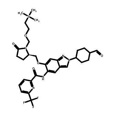 C[Si](C)(C)CCOCN1C(=O)CC[C@@H]1COc1cc2nn(C3CCC(C=O)CC3)cc2cc1NC(=O)c1cccc(C(F)(F)F)n1